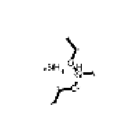 CCO[SiH](C)OCC.[SiH4]